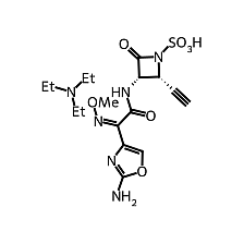 C#C[C@@H]1[C@H](NC(=O)C(=NOC)c2coc(N)n2)C(=O)N1S(=O)(=O)O.CCN(CC)CC